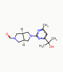 Cc1cc(C(C)(C)O)nc(N2C[C@H]3CN(C=O)C[C@H]3C2)n1